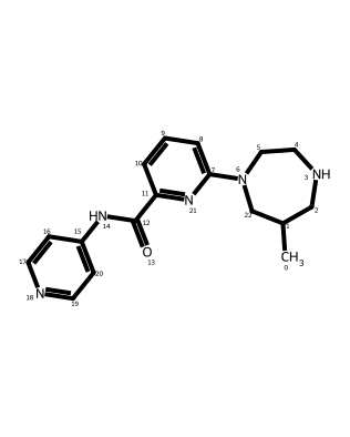 CC1CNCCN(c2cccc(C(=O)Nc3ccncc3)n2)C1